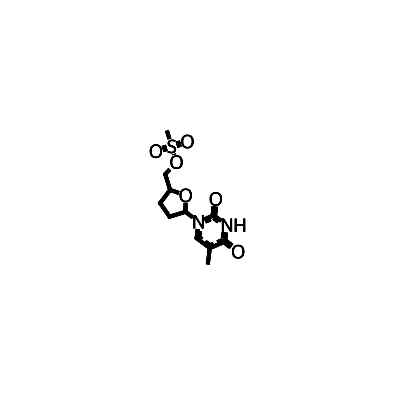 Cc1cn(C2CCC(COS(C)(=O)=O)O2)c(=O)[nH]c1=O